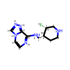 F[C@@H]1CNCC[C@@H]1CNc1nccn2cnnc12